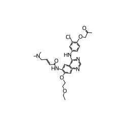 CCOCCOc1cc2ncnc(Nc3ccc(OCC(C)=O)c(Cl)c3)c2cc1NC(=O)/C=C/CN(C)C